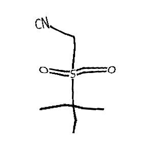 [C-]#[N+]CS(=O)(=O)C(C)(C)C